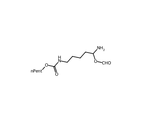 CCCCCOC(=O)NCCCCC(N)OC=O